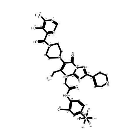 CCc1c(N2CCN(C(=O)c3ncnc(C)c3O)CC2)c(=O)n2nc(C3=CCOCC3)nc2n1CC(=O)Nc1ccc(S(F)(F)(F)(F)F)cc1Cl